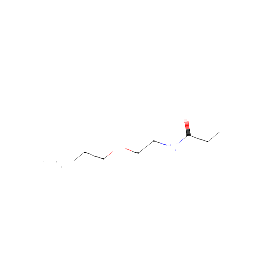 CC(=O)NCCOCCNC(=O)CC(C)(C)C